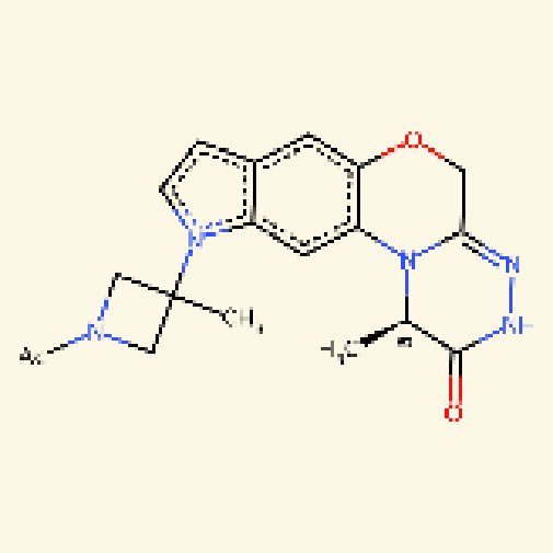 CC(=O)N1CC(C)(n2ccc3cc4c(cc32)N2C(=NNC(=O)[C@H]2C)CO4)C1